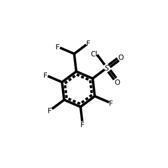 O=S(=O)(Cl)c1c(F)c(F)c(F)c(F)c1C(F)F